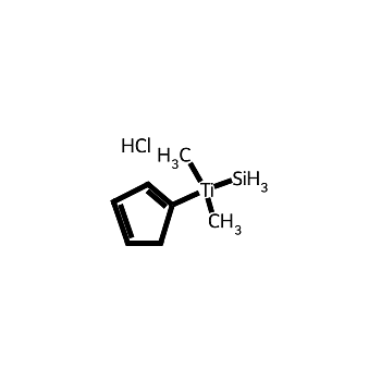 Cl.[CH3][Ti]([CH3])([SiH3])[C]1=CC=CC1